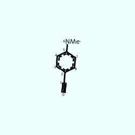 C#Cc1ccc([N]C)cc1